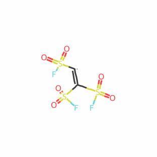 O=S(=O)(F)[C]=C(S(=O)(=O)F)S(=O)(=O)F